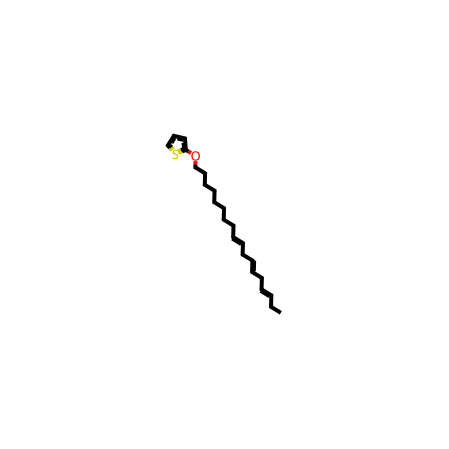 CCC=CCC=CCC=CCCCCCCCCOc1cccs1